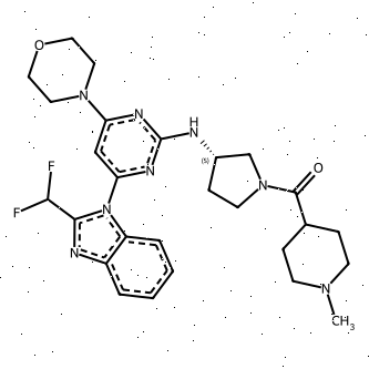 CN1CCC(C(=O)N2CC[C@H](Nc3nc(N4CCOCC4)cc(-n4c(C(F)F)nc5ccccc54)n3)C2)CC1